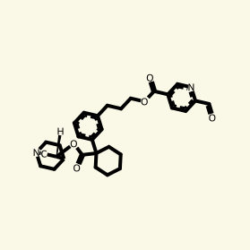 O=Cc1ccc(C(=O)OCCCc2cccc(C3(C(=O)O[C@H]4CN5CCC4CC5)CCCCC3)c2)cn1